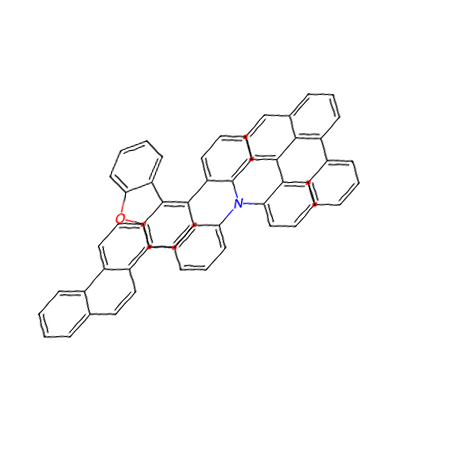 c1ccc(-c2cccc3cccc(-c4ccccc4N(c4cccc(-c5cccc6c5ccc5ccccc56)c4)c4ccccc4-c4cccc5oc6ccccc6c45)c23)cc1